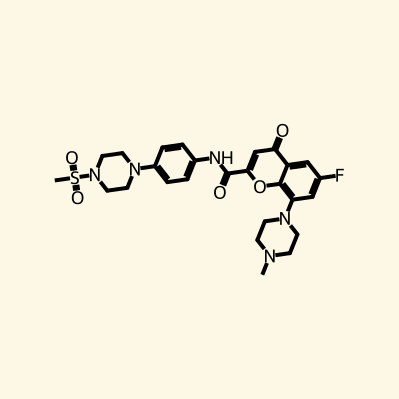 CN1CCN(c2cc(F)cc3c(=O)cc(C(=O)Nc4ccc(N5CCN(S(C)(=O)=O)CC5)cc4)oc23)CC1